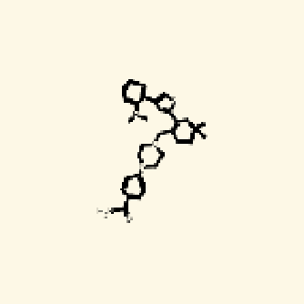 CN(C)c1ccccc1-c1csc(C2=C(CN3CCN(c4ccc(C(N)=O)cc4)CC3)CCC(C)(C)C2)c1